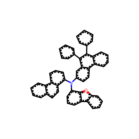 c1ccc(-c2c(-c3ccccc3)c3cc(N(c4cccc5c4ccc4ccccc45)c4cccc5c4oc4ccccc45)ccc3c3ccccc23)cc1